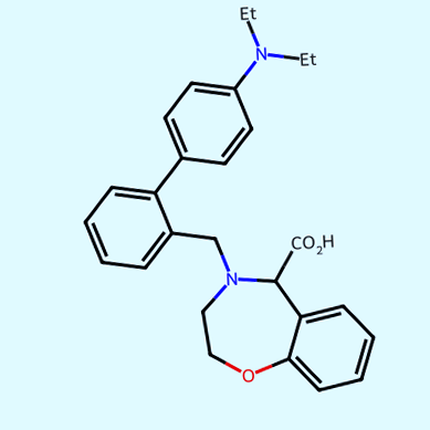 CCN(CC)c1ccc(-c2ccccc2CN2CCOc3ccccc3C2C(=O)O)cc1